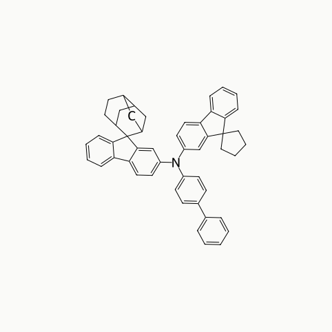 c1ccc(-c2ccc(N(c3ccc4c(c3)C3(CCCC3)c3ccccc3-4)c3ccc4c(c3)C3(c5ccccc5-4)C4CCC5CC3CC5C4)cc2)cc1